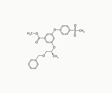 COC(=O)c1cc(Oc2ccc(S(C)(=O)=O)cc2)cc(O[C@@H](C)COCc2ccccc2)c1